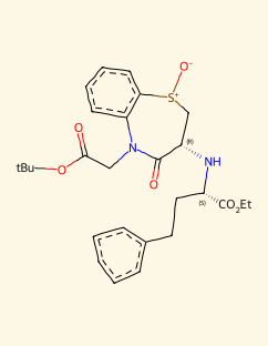 CCOC(=O)[C@H](CCc1ccccc1)N[C@H]1C[S+]([O-])c2ccccc2N(CC(=O)OC(C)(C)C)C1=O